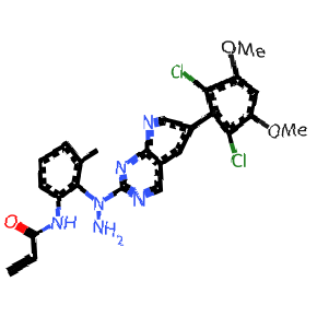 C=CC(=O)Nc1cccc(C)c1N(N)c1ncc2cc(-c3c(Cl)c(OC)cc(OC)c3Cl)cnc2n1